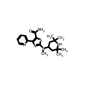 CN(c1nc(-c2ccccn2)c(C(N)=O)s1)C1CC(C)(C)NC(C)(C)C1